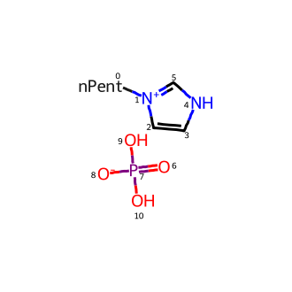 CCCCC[n+]1cc[nH]c1.O=P([O-])(O)O